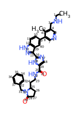 CCNCc1cncc(-c2ccc3[nH]nc(-c4ncc(C(=O)NCCC5CCC(=O)N5Cc5ccccc5)[nH]4)c3c2)c1C